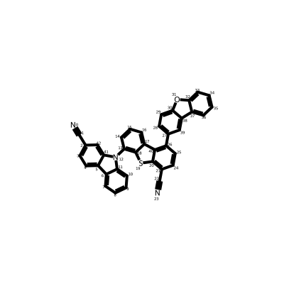 N#Cc1ccc2c3ccccc3n(-c3cccc4c3sc3c(C#N)ccc(-c5ccc6oc7ccccc7c6c5)c34)c2c1